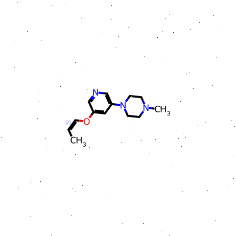 C/C=C\Oc1cncc(N2CCN(C)CC2)c1